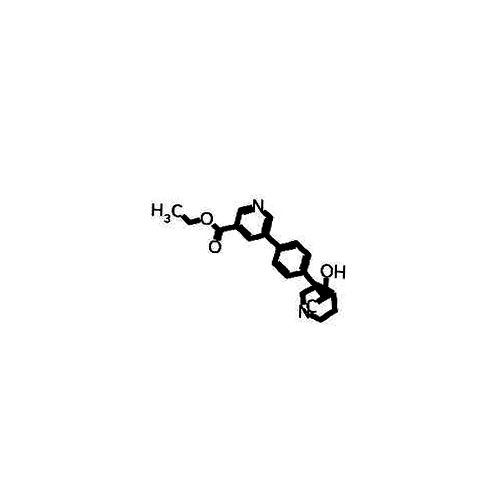 CCOC(=O)c1cncc(-c2ccc(C3(O)CN4CCC3CC4)cc2)c1